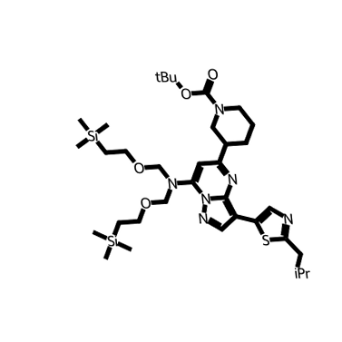 CC(C)Cc1ncc(-c2cnn3c(N(COCC[Si](C)(C)C)COCC[Si](C)(C)C)cc(C4CCCN(C(=O)OC(C)(C)C)C4)nc23)s1